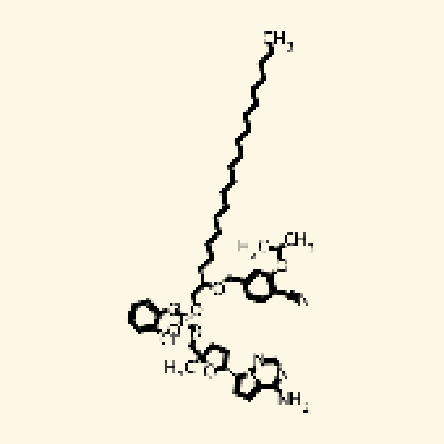 CCCCCCCCCCCCCCCCCCC[C@H](COP(=O)(OC[C@]1(C)CC[C@H](c2ccc3c(N)ncnn23)O1)Oc1ccccc1Cl)OCc1ccc(C#N)c(OC(C)C)c1